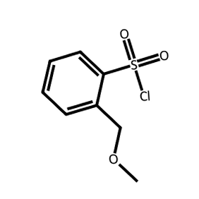 COCc1ccccc1S(=O)(=O)Cl